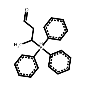 CC(CC=O)[PH](c1ccccc1)(c1ccccc1)c1ccccc1